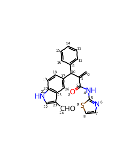 C=C(C(=O)Nc1nccs1)C(c1ccccc1)c1ccc2[nH]cc(C=O)c2c1